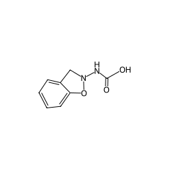 O=C(O)NN1Cc2ccccc2O1